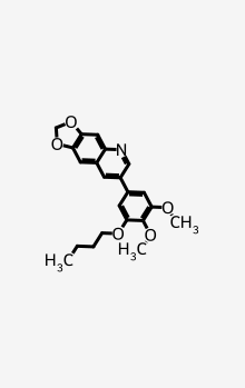 CCCCOc1cc(-c2cnc3cc4c(cc3c2)OCO4)cc(OC)c1OC